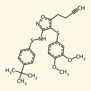 C#CCCc1onc(NSc2ccc(C(C)(C)C)cc2)c1Sc1ccc(OC)c(OC)c1